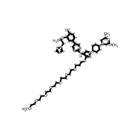 COCCOCCOCCOCCOCCOCCOCCCOc1nn([C@H]2CC[C@H](N3C[C@@H](C)O[C@@H](C)C3)CC2)cc1Nc1ncc(-c2ccc(Cl)c(O[C@@H](C)Cn3cncn3)c2)cn1